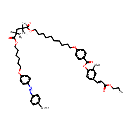 CCCCCc1ccc(/N=N/c2ccc(OCCCCCCOC(=O)C(C)(CC)CC(C)(C)C(=O)OCCCCCCCCCCOc3ccc(C(=O)Oc4ccc(/C=C/C(=O)OCCC#N)cc4OC)cc3)cc2)cc1